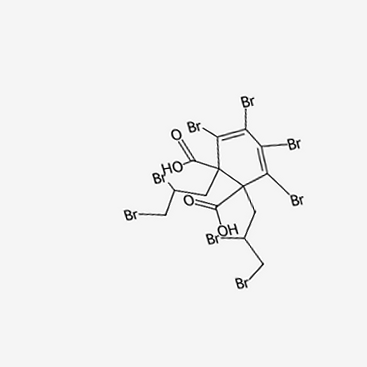 O=C(O)C1(CC(Br)CBr)C(Br)=C(Br)C(Br)=C(Br)C1(CC(Br)CBr)C(=O)O